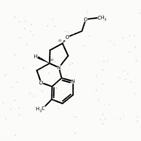 COCO[C@H]1C[C@H]2COc3c(C)ccnc3N2C1